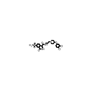 NS(=O)(=O)c1ccc2c(C(=O)NCCCN3CCC(Oc4ccc(Cl)c(Cl)c4)CC3)c[nH]c(=O)c2c1